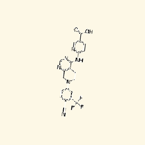 N#Cc1ccc(N2CCc3c(ncnc3Nc3ccc(C(=O)O)cn3)C2)cc1C(F)(F)F